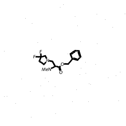 CNC(CN1CCC(F)(F)C1)C(=O)OCc1ccccc1